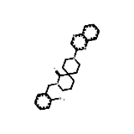 Bc1ccccc1CN1CCCC2(CCN(c3cnc4ccccc4n3)CC2)C1=O